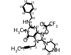 CC#CCN1c2c(nc(NCc3ccccc3)n(C)c2=O)N(OC(=O)C(F)(F)F)C1N1CCNCC1